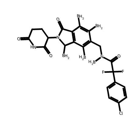 Bc1c(B)c2c(c(B)c1CN(B)C(=O)C(F)(F)c1ccc(Cl)cc1)C(B)N(C1CCC(=O)NC1=O)C2=O